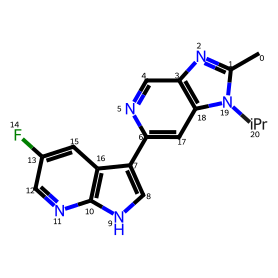 Cc1nc2cnc(-c3c[nH]c4ncc(F)cc34)cc2n1C(C)C